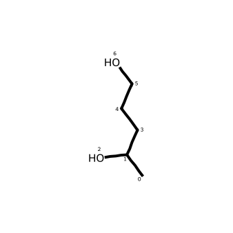 CC(O)CC[CH]O